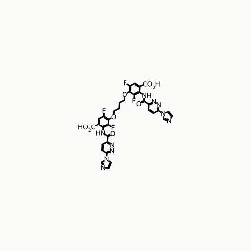 O=C(Nc1c(C(=O)O)cc(F)c(OCCCCOc2c(F)cc(C(=O)O)c(NC(=O)c3ccc(-n4ccnc4)nn3)c2F)c1F)c1ccc(-n2ccnc2)nn1